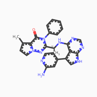 Cc1ccn2nc([C@H](C)Nc3ncnc4[nH]cc(-c5ccnc(N)c5)c34)n(-c3ccccc3)c(=O)c12